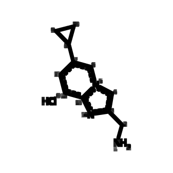 Cl.NCc1cn2cc(C3CC3)ccc2n1